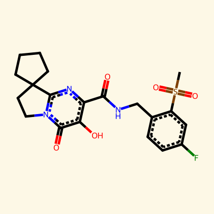 CS(=O)(=O)c1cc(F)ccc1CNC(=O)c1nc2n(c(=O)c1O)CCC21CCCC1